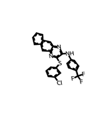 FC(F)(F)c1ccc(Nc2nc3cc4ccccc4cc3nc2Sc2cccc(Cl)c2)cc1